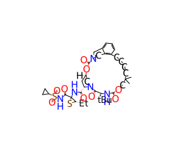 CC[C@@H]1S[C@]1(NC(=O)[C@@H]1C[C@@H]2CN1C(=O)[C@H](C(C)(C)C)NC(=O)OCC(C)(C)CCCCc1cccc3c1CN(C3)C(=O)O2)C(=O)NS(=O)(=O)C1CC1